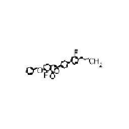 C=CCCc1ccc(-c2ccc(-c3cc4ccc(OCc5ccccc5)c(F)c4c(=O)o3)cc2)cc1F